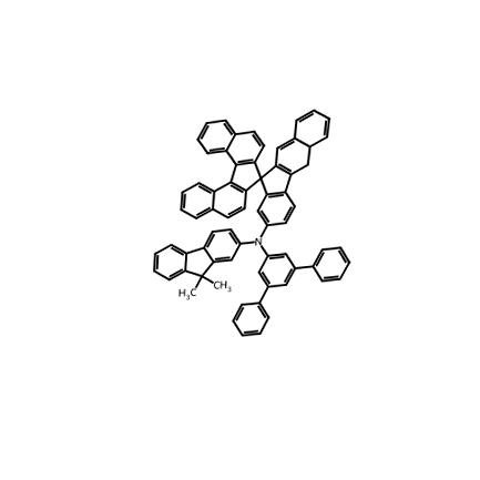 CC1(C)c2ccccc2-c2ccc(N(c3cc(-c4ccccc4)cc(-c4ccccc4)c3)c3ccc4c(c3)C3(C5=C4CC4C=CC=CC4=C5)c4ccc5ccccc5c4-c4c3ccc3ccccc43)cc21